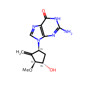 C=C1[C@H](OC)[C@@H](O)C[C@@H]1n1cnc2c(=O)[nH]c(N)nc21